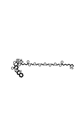 CCC1(OC(=O)CCCC(=O)OCCOCCOCCOCCOCCOCCOC(=O)CCCCC2CCSS2)C(=O)OCc2c1cc1n(c2=O)Cc2cc3ccccc3nc2-1